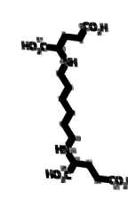 O=C(O)CCC(NCCCCCCNC(CCC(=O)O)C(=O)O)C(=O)O